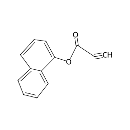 C#CC(=O)Oc1cccc2ccccc12